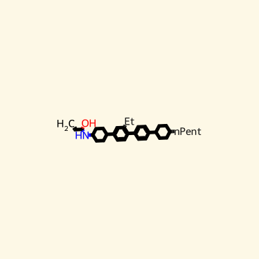 C=CC(O)NC1CCC(c2ccc(-c3ccc(C4CCC(CCCCC)CC4)cc3)c(CC)c2)CC1